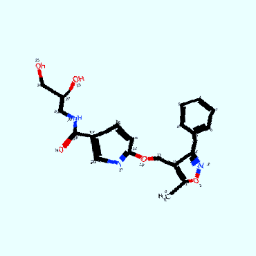 Cc1onc(-c2ccccc2)c1COc1ccc(C(=O)NCC(O)CO)cn1